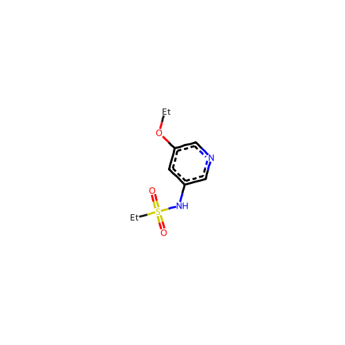 CCOc1cncc(NS(=O)(=O)CC)c1